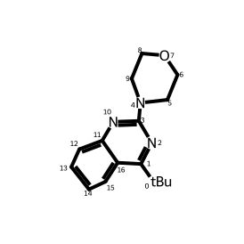 CC(C)(C)c1nc(N2CCOCC2)nc2ccccc12